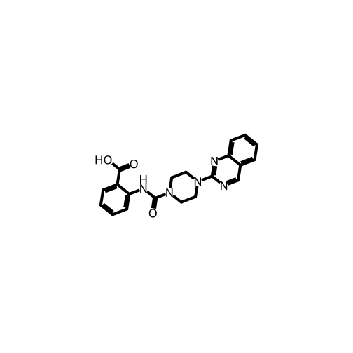 O=C(O)c1ccccc1NC(=O)N1CCN(c2ncc3ccccc3n2)CC1